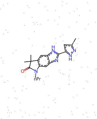 CCCN1C(=O)C(C)(C)c2cc3[nH]c(-c4cc(C)n[nH]4)nc3cc21